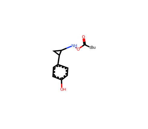 CC(C)(C)C(=O)ONC1CC1c1ccc(O)cc1